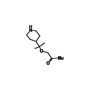 CCC(C)C(=O)COC(C)(C)C1CCNCC1